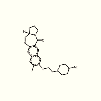 CC(=O)N1CCN(CCOc2cc3cc4c(cc3cc2C)N=C[C@@H]2CCCN2C4=O)CC1